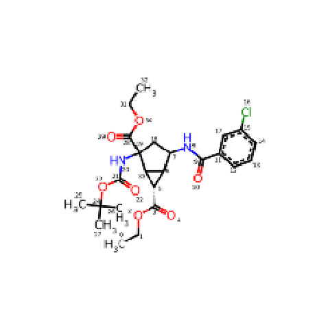 CCOC(=O)[C@H]1C2C(NC(=O)c3cccc(Cl)c3)CC(NC(=O)OC(C)(C)C)(C(=O)OCC)C21